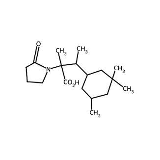 CC1CC(C(C)C(C)(C(=O)O)N2CCCC2=O)CC(C)(C)C1